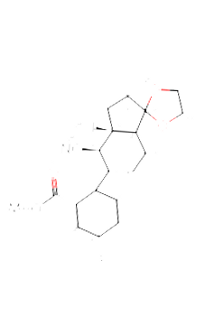 COC(=O)[C@H]1C[C@@H](C)CC[C@]1(C)[C@H]1CC[C@@]2(C)[C@@H](CCC23OCCO3)[C@@H]1C#N